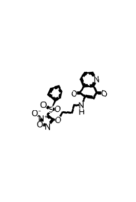 O=C1C(NCCCOc2no[n+]([O-])c2S(=O)(=O)c2ccccc2)=CC(=O)c2ncccc21